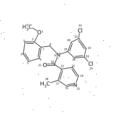 COc1ccccc1CN(C(=O)c1ccncc1C)c1cc(Cl)cc(Cl)c1